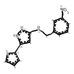 O=[N+]([O-])c1c[c]cc(CNc2cc(-c3cccs3)n[nH]2)c1